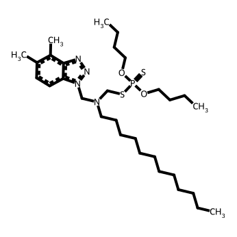 CCCCCCCCCCCCN(CSP(=S)(OCCCC)OCCCC)Cn1nnc2c(C)c(C)ccc21